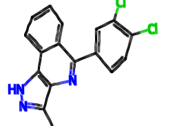 Cc1n[nH]c2c1nc(-c1ccc(Cl)c(Cl)c1)c1ccccc12